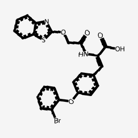 O=C(COc1nc2ccccc2s1)N/C(=C\c1ccc(Oc2ccccc2Br)cc1)C(=O)O